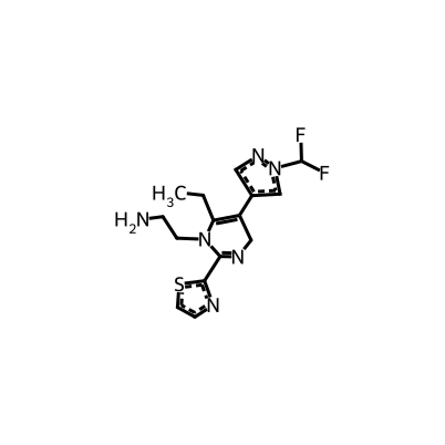 CCC1=C(c2cnn(C(F)F)c2)CN=C(c2nccs2)N1CCN